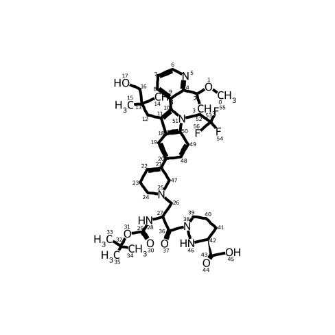 COC(C)c1ncccc1-c1c(CC(C)(C)CO)c2cc(C3=CCCN(CC(NC(=O)OC(C)(C)C)C(=O)N4CCC[C@@H](C(=O)O)N4)C3)ccc2n1CC(F)(F)F